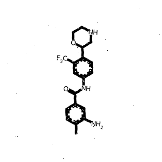 Cc1ccc(C(=O)Nc2ccc(C3CNCCO3)c(C(F)(F)F)c2)cc1N